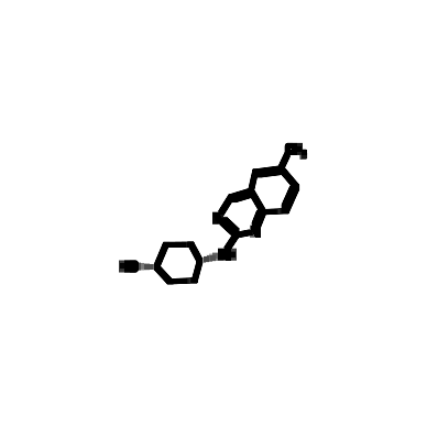 Cc1ccc2nc(N[C@H]3CC[C@@H](O)CC3)ncc2c1